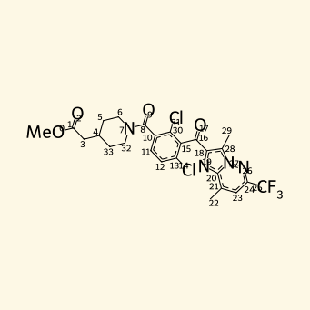 COC(=O)CC1CCN(C(=O)c2ccc(Cl)c(C(=O)c3nc4c(C)cc(C(F)(F)F)nn4c3C)c2Cl)CC1